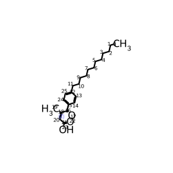 CCCCCCCCCCCCc1ccc(C(=O)/C(C)=C\C(=O)O)cc1